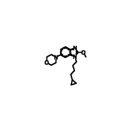 COc1nc2ccc(N3CCOCC3)cc2n1CCCCC1CC1